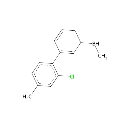 CBC1C=C(c2ccc(C)cc2Cl)C=CC1